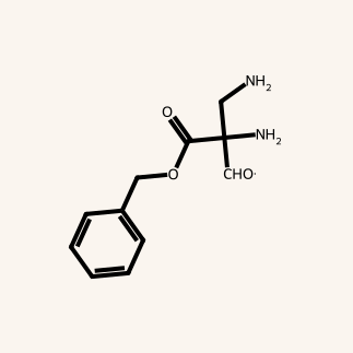 NCC(N)([C]=O)C(=O)OCc1ccccc1